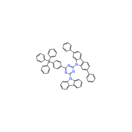 c1ccc(-c2ccc3c4ccc(-c5ccccc5)cc4n(-c4nc(-c5ccc([Si](c6ccccc6)(c6ccccc6)c6ccccc6)cc5)nc(-n5c6ccccc6c6ccccc65)n4)c3c2)cc1